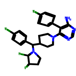 Nc1ncnc(N2CCC(C(c3ccc(F)cc3)N3CCC(F)C3F)CC2)c1-c1ccc(F)cc1